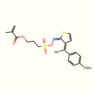 C=C(C)C(=O)OCCCS(=O)(=O)O/N=C1/SC=C/C1=C(/C#N)c1ccc(OC)cc1